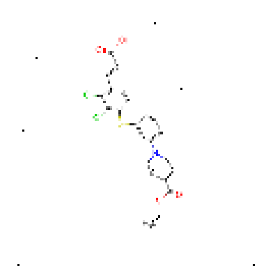 CCOC(=O)C1CCN(c2cccc(Sc3ccc(C=CC(=O)O)c(Cl)c3Cl)c2)CC1